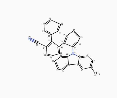 Cc1ccc2c(c1)c1ccccc1n2-c1ccccc1-c1cccc(C#N)c1-c1ccccc1